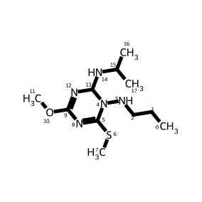 CCCNN1C(SC)=NC(OC)=NC1NC(C)C